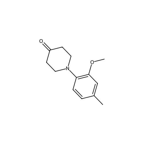 COc1cc(C)ccc1N1CCC(=O)CC1